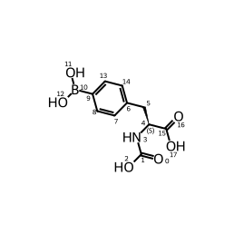 O=C(O)N[C@@H](Cc1ccc(B(O)O)cc1)C(=O)O